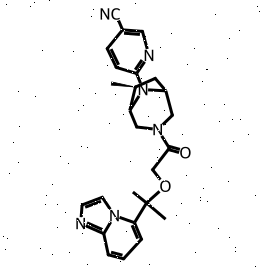 C[C@H]1CC2CN(C(=O)COC(C)(C)c3cccc4nccn34)CC1N2c1ccc(C#N)cn1